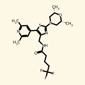 Cc1cc(-c2sc(N3C[C@@H](C)O[C@@H](C)C3)nc2CNC(=O)CCCC(F)(F)F)cc(C)n1